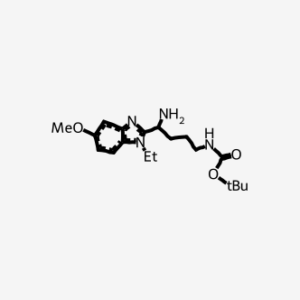 CCn1c(C(N)CCCNC(=O)OC(C)(C)C)nc2cc(OC)ccc21